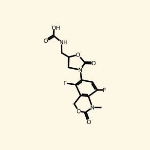 CN1C(=O)OCc2c(F)c(N3CC(CNC(=O)O)OC3=O)cc(F)c21